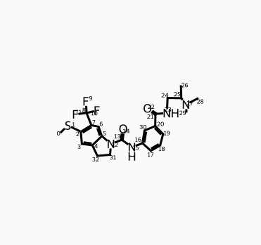 CSc1cc2c(cc1C(F)(F)F)N(C(=O)Nc1cccc(C(=O)NCC(C)N(C)C)c1)CC2